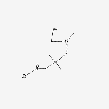 CCBCC(C)(C)CN(C)CC(C)C